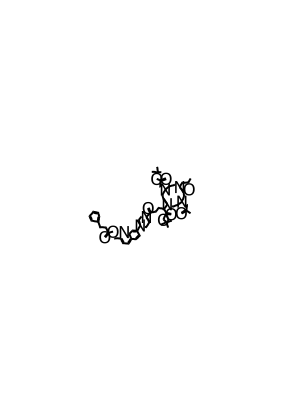 CC(=O)CN1CCN(CC(C)=O)CCN(C(CCC(=O)N2CCN(c3ccc4ccc(COC(=O)CCc5ccccc5)nc4c3)CC2)C(=O)OC(C)(C)C)CCN(CC(=O)OC(C)(C)C)CC1